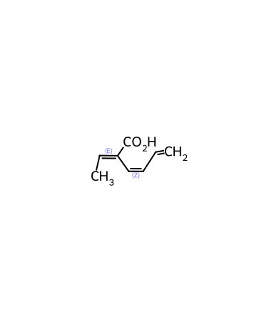 C=C/C=C\C(=C/C)C(=O)O